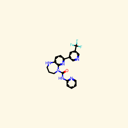 O=C(Nc1ccccn1)N1CCCNc2ccc(-c3cncc(C(F)(F)F)c3)nc21